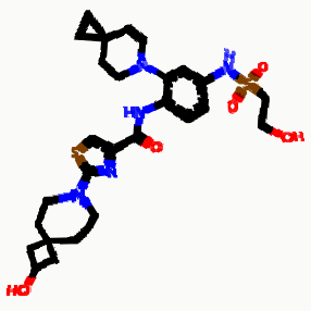 O=C(Nc1ccc(NS(=O)(=O)CCO)cc1N1CCC2(CC1)CC2)c1csc(N2CCC3(CC2)CC(O)C3)n1